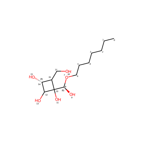 CCCCCCCO[C@@H](O)C1(O)C(O)[C@H](O)C1CO